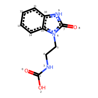 O=C(O)NCCn1c(=O)[nH]c2ccccc21